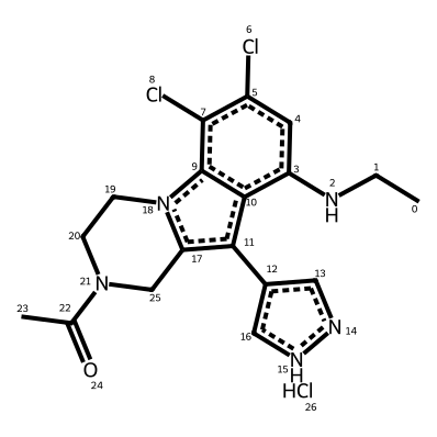 CCNc1cc(Cl)c(Cl)c2c1c(-c1cn[nH]c1)c1n2CCN(C(C)=O)C1.Cl